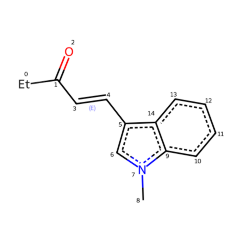 CCC(=O)/C=C/c1cn(C)c2ccccc12